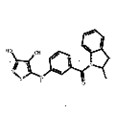 CC1Cc2ccccc2N1C(=O)c1cccc(Nc2snc(O)c2C#N)c1